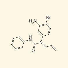 C=CCN(C(=O)Nc1ccccc1)c1ccc(Br)c(N)c1